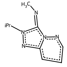 C/N=c1\n(C(C)C)nc2cccnn12